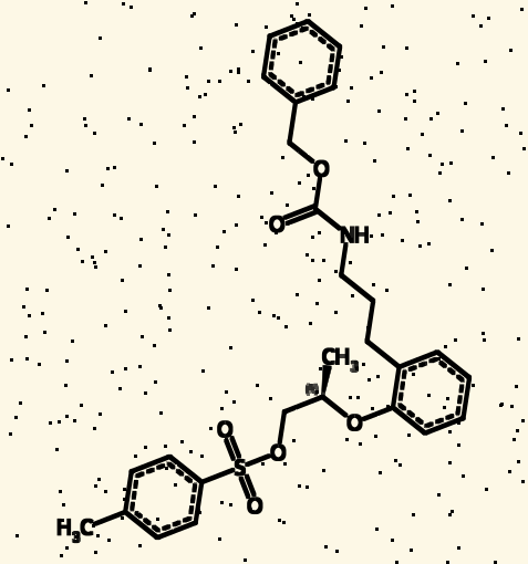 Cc1ccc(S(=O)(=O)OC[C@@H](C)Oc2ccccc2CCCNC(=O)OCc2ccccc2)cc1